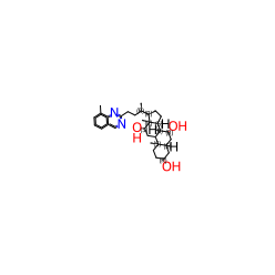 Cc1cccc2cnc(CC[C@@H](C)[C@H]3CC[C@H]4[C@H]5C(C[C@H](O)[C@]34C)[C@@]3(C)CC[C@@H](O)C[C@H]3C[C@H]5O)nc12